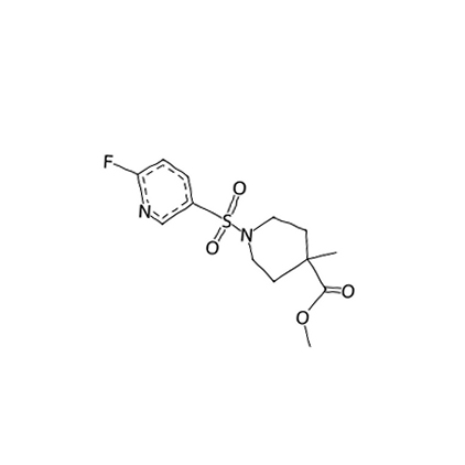 COC(=O)C1(C)CCN(S(=O)(=O)c2ccc(F)nc2)CC1